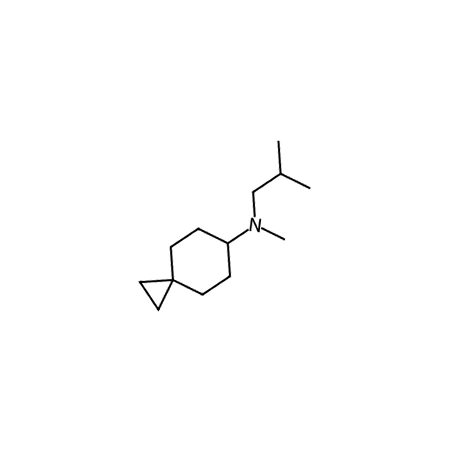 CC(C)CN(C)C1CCC2(CC1)CC2